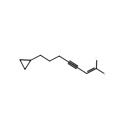 FC(F)=CC#CCCCC1[CH]C1